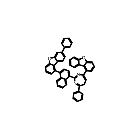 C1=C(c2cccc3oc4ccccc4c23)N=C(c2ccc(-c3cccc4oc5cc(-c6ccccc6)ccc5c34)c3ccccc23)N=C(c2ccccc2)C1